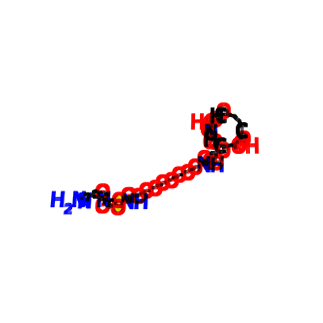 CO[C@H]1C[C@@H]2CC[C@@H](C)[C@@](O)(O2)C(=O)C(=O)N2CCCC[C@H]2C(=O)O[C@H]([C@H](C)C[C@@H]2CC[C@@H](OC(=O)NCCOCCOCCOCCOCCOCCOCCOCCOCCC(=O)NCCS(=O)(=O)c3ccc(C(=O)N4CCOc5ccc(-c6ccc(N)nc6)cc5C4)c(C)c3)[C@H](OC)C2)CC(=O)[C@H](C)/C=C(\C)[C@@H](O)[C@@H](OC)C(=O)[C@H](C)C[C@H](C)/C=C/C=C/C=C/1C